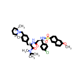 COc1ccc2cc(S(=O)(=O)N[C@H](CC(=O)N[C@H](Cc3ccc(CN4[C@H](C)CCC[C@@H]4C)cc3)C(=O)N(C)C(C)C)c3ccc(Cl)cc3)ccc2c1